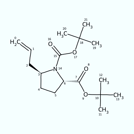 C=CC[C@@H]1CC[C@@H](C(=O)OC(C)(C)C)N1C(=O)OC(C)(C)C